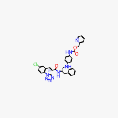 O=C(/C=C/c1cc(Cl)ccc1-n1cnnn1)N[C@H](CNc1ccc(NC(=O)OCc2ccccn2)cc1)Cc1ccccc1